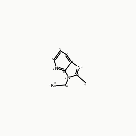 Cc1nc2cccnc2n1CC(C)(C)C